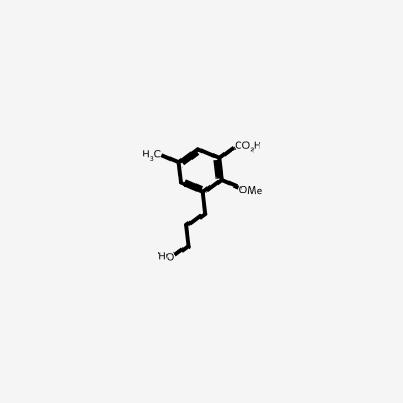 COc1c(CCCO)cc(C)cc1C(=O)O